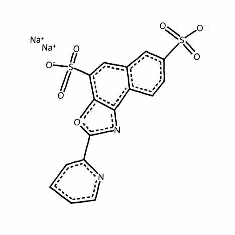 O=S(=O)([O-])c1ccc2c(c1)cc(S(=O)(=O)[O-])c1oc(-c3ccccn3)nc12.[Na+].[Na+]